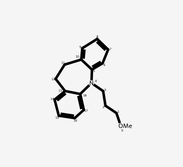 COCCCN1c2ccccc2CCc2ccccc21